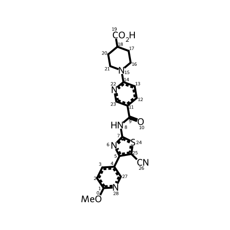 COc1ccc(-c2nc(NC(=O)c3ccc(N4CCC(C(=O)O)CC4)nc3)sc2C#N)cn1